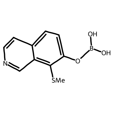 CSc1c(OB(O)O)ccc2ccncc12